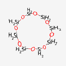 O1[SiH2]O[SiH2]O[SiH2]O[SiH2]O[SiH2]O[SiH2]O[SiH2]O[SiH2]1